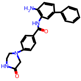 Nc1ccc(-c2ccccc2)cc1NC(=O)c1ccc(N2CCNC(=O)C2)cc1